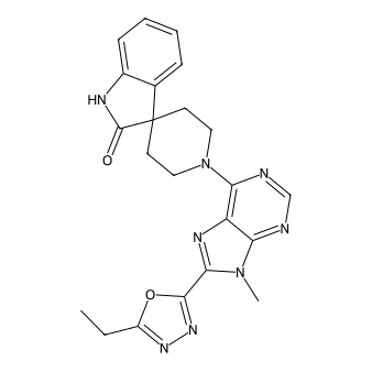 CCc1nnc(-c2nc3c(N4CCC5(CC4)C(=O)Nc4ccccc45)ncnc3n2C)o1